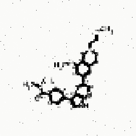 COCCN1CCc2cc(-c3cnc4[nH]cc(-c5ccc(C(=O)N(C)C)cc5)c4n3)cc(OC)c2C1